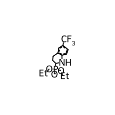 CCOP(=O)(OCC)C1CCc2cc(C(F)(F)F)ccc2N1